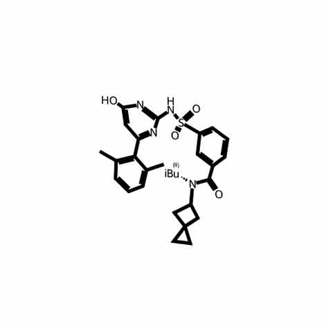 CC[C@@H](C)N(C(=O)c1cccc(S(=O)(=O)Nc2nc(O)cc(-c3c(C)cccc3C)n2)c1)C1CC2(CC2)C1